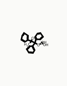 CC(C)(c1ccccc1)C(OB(O)O)(c1ccccc1)c1ccccc1